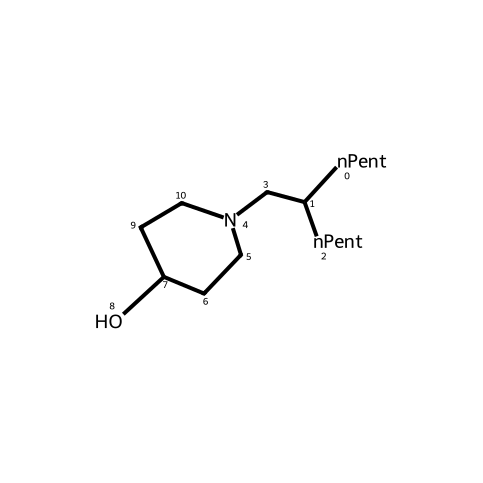 CCCCCC(CCCCC)CN1CCC(O)CC1